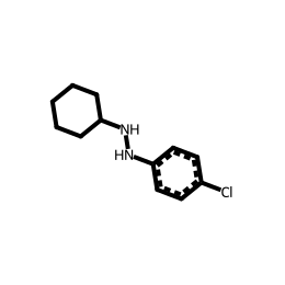 Clc1ccc(NNC2CCCCC2)cc1